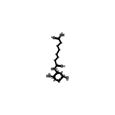 O=C(O)CCCCCCC(=O)Nc1cc(Cl)ccc1O